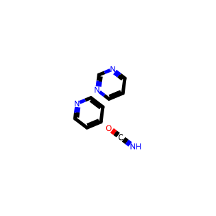 N=C=O.c1ccncc1.c1cncnc1